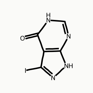 O=c1[nH]cnc2[nH]nc(I)c12